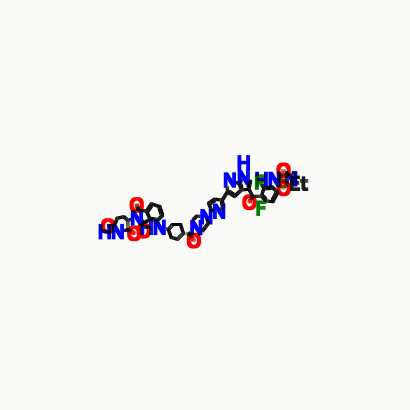 CCN(C)S(=O)(=O)Nc1ccc(F)c(C(=O)c2c[nH]c3ncc(-c4ccc(N5CCN(C(=O)[C@H]6CC[C@H](Nc7cccc8c7C(=O)N(C7CCC(=O)NC7=O)C8=O)CC6)CC5)nc4)cc23)c1F